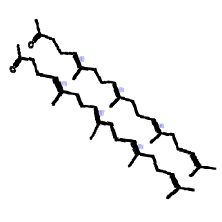 CC(=O)CC/C=C(\C)CC/C=C(\C)CC/C=C(\C)CCC=C(C)C.CC(=O)CC/C=C(\C)CC/C=C(\C)CC/C=C(\C)CCC=C(C)C